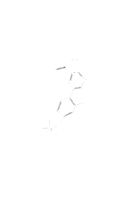 COC(=O)c1cncc(-c2ccc(O[Si](C)(C)C(C)(C)C)cc2Cl)n1